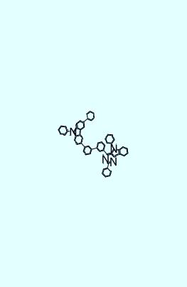 c1ccc(-c2ccc3c(c2)c2cc(-c4cccc(-c5cccc(-c6nc(-c7ccccc7)nc7c8ccccc8n(-c8ccccc8)c67)c5)c4)ccc2n3-c2ccccc2)cc1